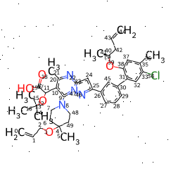 C=CCOC1(C)CCN(c2c(C(OC(C)(C)C)C(=O)O)c(C)nc3cc(-c4cccc(-c5cc(Cl)c(C)cc5O[C@@H](C)CC=C)c4)nn23)CC1